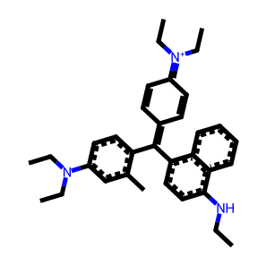 CCNc1ccc(C(=C2C=CC(=[N+](CC)CC)C=C2)c2ccc(N(CC)CC)cc2C)c2ccccc12